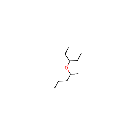 CCCC(C)OC(CC)CC